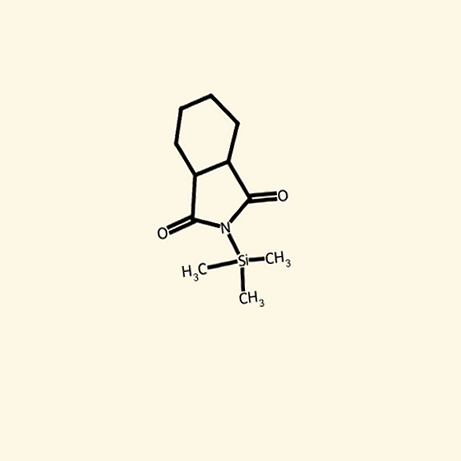 C[Si](C)(C)N1C(=O)C2CCCCC2C1=O